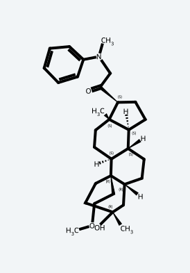 COCC[C@]12CC[C@@](C)(O)C[C@H]1CC[C@H]1[C@@H]3CC[C@H](C(=O)CN(C)c4ccccc4)[C@@]3(C)CC[C@@H]12